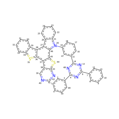 c1ccc(-c2nc(-c3ccccc3)nc(-c3cccc(-n4c5ccccc5c5c6c7ccccc7sc6c6c7cncnc7sc6c54)c3)n2)cc1